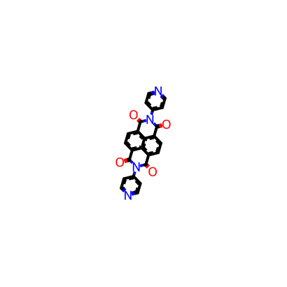 O=C1c2ccc3c4c(ccc(c24)C(=O)N1c1ccncc1)C(=O)N(c1ccncc1)C3=O